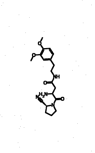 COc1ccc(CCNC(=O)CC(N)C(=O)N2CCC[C@H]2C#N)cc1OC